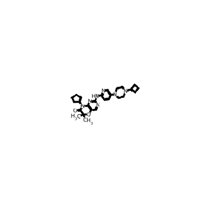 CC1(C)Oc2cnc(Nc3ccc(N4CCN(C5CCC5)CC4)cn3)nc2N(C2CCCC2)C1=O